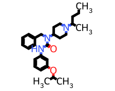 CCCC(C)N1CCC(N(Cc2ccccc2)C(=O)Nc2cccc(OC(C)C)c2)CC1